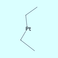 C[CH2][Pt][CH2]C